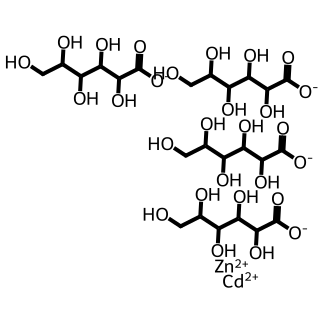 O=C([O-])C(O)C(O)C(O)C(O)CO.O=C([O-])C(O)C(O)C(O)C(O)CO.O=C([O-])C(O)C(O)C(O)C(O)CO.O=C([O-])C(O)C(O)C(O)C(O)CO.[Cd+2].[Zn+2]